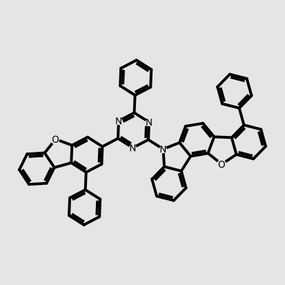 c1ccc(-c2nc(-c3cc(-c4ccccc4)c4c(c3)oc3ccccc34)nc(-n3c4ccccc4c4c5oc6cccc(-c7ccccc7)c6c5ccc43)n2)cc1